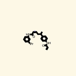 C=CC(=O)Nc1ccc(C(C)C/C=C\C(=O)Nc2cccc(C(C)C)c2)cc1